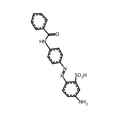 Nc1ccc(N=Nc2ccc(NC(=O)c3ccccc3)cc2)c(S(=O)(=O)O)c1